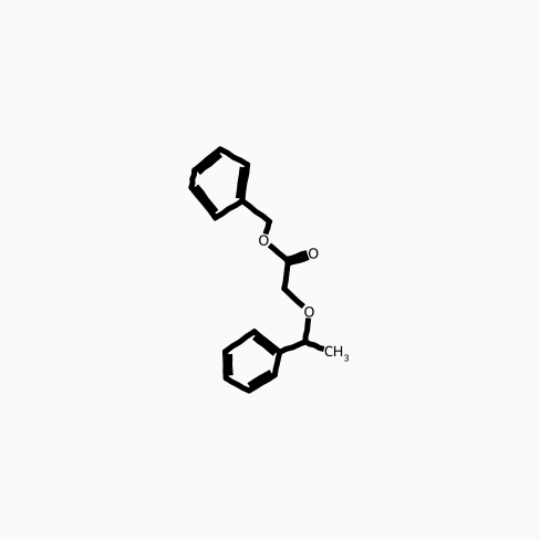 CC(OCC(=O)OCc1ccccc1)c1ccccc1